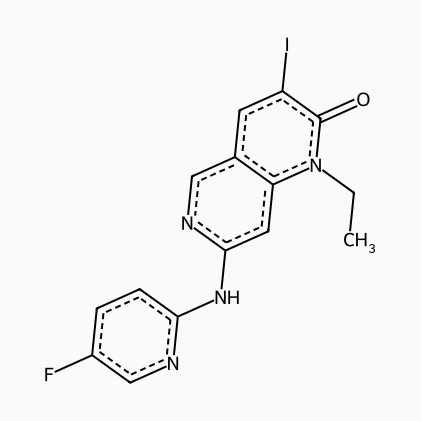 CCn1c(=O)c(I)cc2cnc(Nc3ccc(F)cn3)cc21